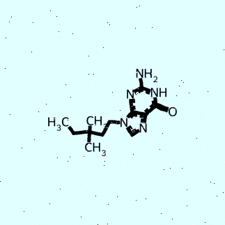 CCC(C)(C)CCn1cnc2c(=O)[nH]c(N)nc21